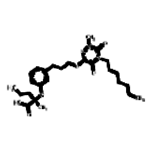 CCCCCCCn1c(=O)c(OCCCc2cccc(OC(C)(CCC)C(=O)O)c2)nn(C)c1=O